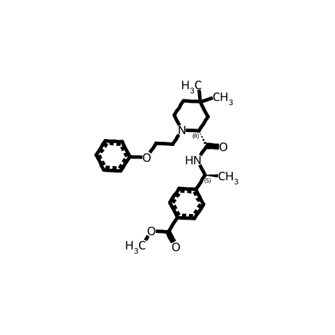 COC(=O)c1ccc([C@H](C)NC(=O)[C@H]2CC(C)(C)CCN2CCOc2ccccc2)cc1